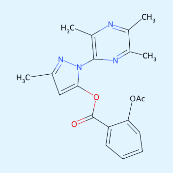 CC(=O)Oc1ccccc1C(=O)Oc1cc(C)nn1-c1nc(C)c(C)nc1C